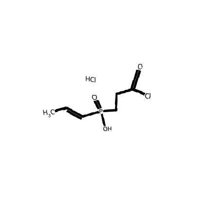 CC=CP(=O)(O)CCC(=O)Cl.Cl